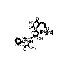 COC(=O)C(C)NP(=O)(OC[C@H]1OC(n2cc(/C=C\COP(=O)(N3CC3)N3CC3)c(=O)[nH]c2=O)CC1O)Oc1ccccc1